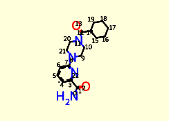 NC(=O)c1[c]ccc(N2CCN(C(=O)C3CCCCC3)CC2)n1